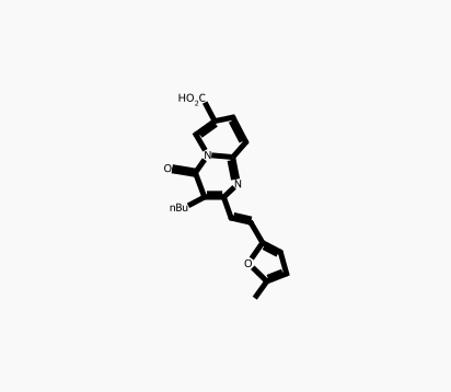 CCCCc1c(C=Cc2ccc(C)o2)nc2ccc(C(=O)O)cn2c1=O